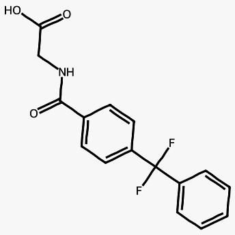 O=C(O)CNC(=O)c1ccc(C(F)(F)c2ccccc2)cc1